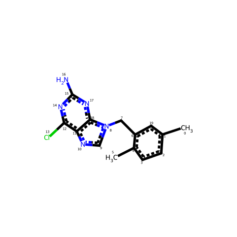 Cc1ccc(C)c(Cn2cnc3c(Cl)nc(N)nc32)c1